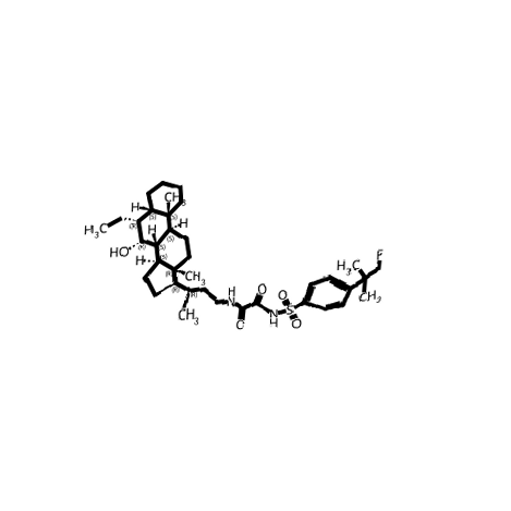 CC[C@H]1[C@@H](O)[C@@H]2[C@H](CC[C@]3(C)[C@@H]([C@H](C)CCNC(=O)C(=O)NS(=O)(=O)c4ccc(C(C)(C)CF)cc4)CC[C@@H]23)[C@@]2(C)CCCC[C@@H]12